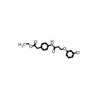 CCOC(=O)Cc1ccc(NC(=O)CCOc2cccc(Cl)c2)cc1